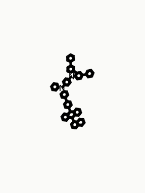 c1ccc(-c2ccc3c(c2)c2cc(-c4ccccc4)ccc2n3-c2ccc(N(c3ccccc3)c3ccc(-c4ccc(-c5c6ccccc6c(-c6cccc7ccccc67)c6ccccc56)cc4)cc3)cc2)cc1